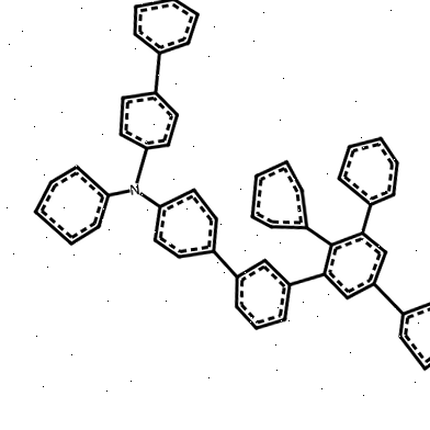 c1ccc(-c2ccc(N(c3ccccc3)c3ccc(-c4cccc(-c5cc(-c6ccccc6)cc(-c6ccccc6)c5-c5ccccc5)c4)cc3)cc2)cc1